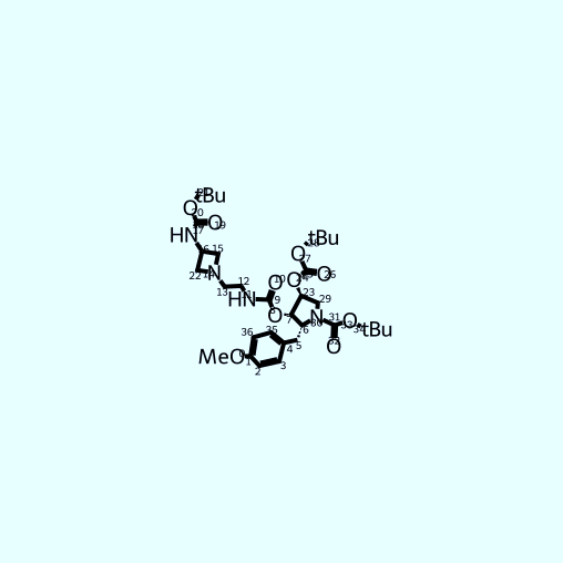 COc1ccc(C[C@@H]2[C@H](OC(=O)NCCN3CC(NC(=O)OC(C)(C)C)C3)[C@@H](OC(=O)OC(C)(C)C)CN2C(=O)OC(C)(C)C)cc1